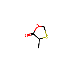 CC1SCOC1=O